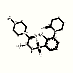 [CH2][C@H](NS(=O)(=O)c1cccc(N2CCCCC2=O)c1C)C(=O)N1CCN(C(C)C)CC1